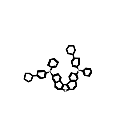 c1ccc(N(c2ccc(C3CCCCC3)cc2)c2ccc3c(ccc4oc5ccc6cc(N(c7ccccc7)c7ccc(C8CCCCC8)cc7)ccc6c5c43)c2)cc1